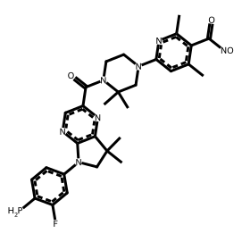 Cc1cc(N2CCN(C(=O)c3cnc4c(n3)C(C)(C)CN4c3ccc(P)c(F)c3)C(C)(C)C2)nc(C)c1C(=O)N=O